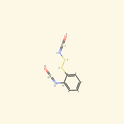 O=C=NSSc1ccccc1N=C=O